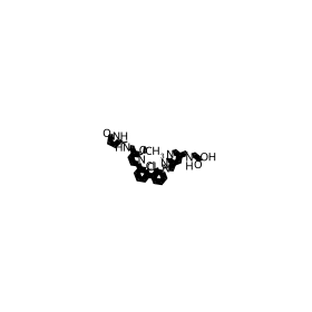 COc1nc(-c2cccc(-c3cccc(-n4cc5cc(CNCC(=O)O)cnc5n4)c3Cl)c2Cl)ccc1CNC[C@@H]1CCC(=O)N1